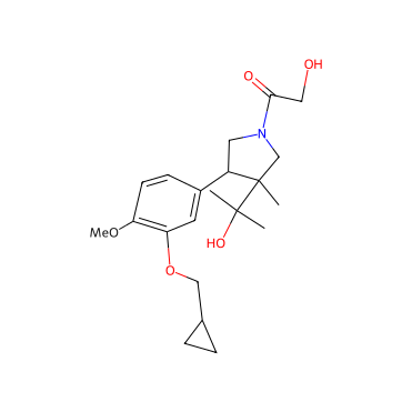 COc1ccc(C2CN(C(=O)CO)CC2(C)C(C)(C)O)cc1OCC1CC1